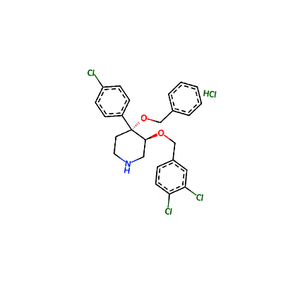 Cl.Clc1ccc([C@]2(OCc3ccccc3)CCNC[C@@H]2OCc2ccc(Cl)c(Cl)c2)cc1